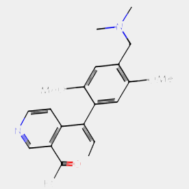 C/C=C(/c1cc(OC)c(CN(C)C)cc1OC)c1ccncc1C(=O)CC